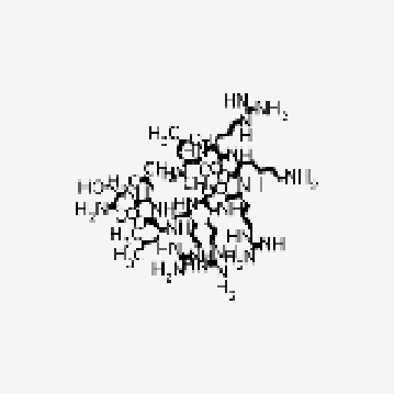 CN[C@@H](CC(C)C)C(=O)N[C@@H](CCCNC(=N)N)C(=O)N[C@@H](CCCCN)C(=O)N[C@@H](CCCNC(=N)N)C(=O)N[C@@H](CCCNC(=N)N)C(=O)N[C@@H](CCCNC(=N)N)CN[C@@H](CC(C)C)C(=O)N[C@@H](CC(C)C)C(=O)N[C@@H](CO)C(N)=O